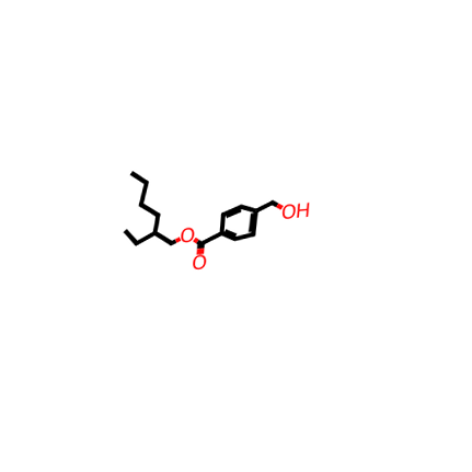 CCCCC(CC)COC(=O)c1ccc(CO)cc1